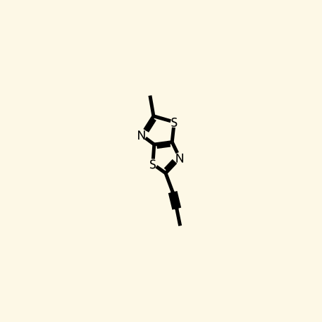 CC#Cc1nc2sc(C)nc2s1